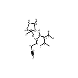 CC(C)N(C(C)C)P(OCCC#N)O[C@H]1[C@H](C)SSC1(C)C